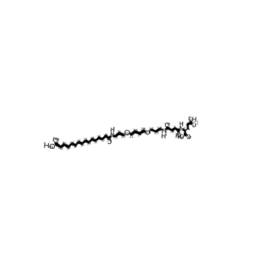 CC(=O)CC[C@H](NC(=O)CCC(=O)NCCCOCCCCOCCCNC(=O)CCCCCCCCCCCCCCC(=O)O)C(=O)O